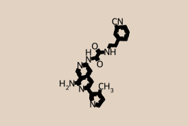 Cc1ccncc1-c1cc2cc(NC(=O)C(=O)NCCc3cccc(C#N)c3)ncc2c(N)n1